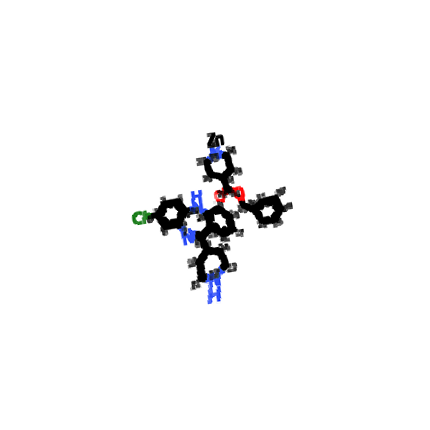 Clc1ccc2c(c1)N=C(C1CCNCC1)c1ccccc1N2.O=C(OCc1ccccc1)C1CC[N]([Zn])CC1